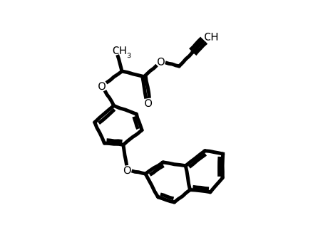 C#CCOC(=O)C(C)Oc1ccc(Oc2ccc3ccccc3c2)cc1